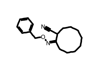 N#CC1CCCCCCCC/C1=N/OCc1ccccc1